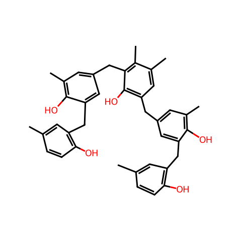 Cc1ccc(O)c(Cc2cc(Cc3cc(C)c(C)c(Cc4cc(C)c(O)c(Cc5cc(C)ccc5O)c4)c3O)cc(C)c2O)c1